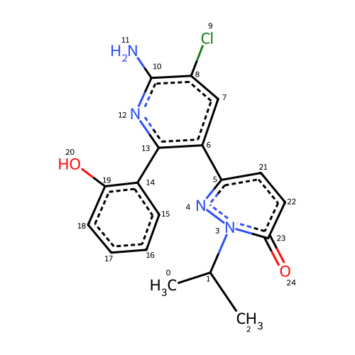 CC(C)n1nc(-c2cc(Cl)c(N)nc2-c2ccccc2O)ccc1=O